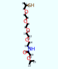 CC(S)COCCOCCOCCOCCNC(=O)COC(C)C